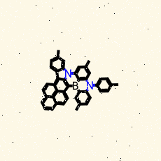 CC1=CC2B3c4c(cc(C)cc4-n4c5cc(C)ccc5c5c6ccc7cccc8ccc(c3c54)c6c87)N(c3ccc(C)cc3)C2C=C1